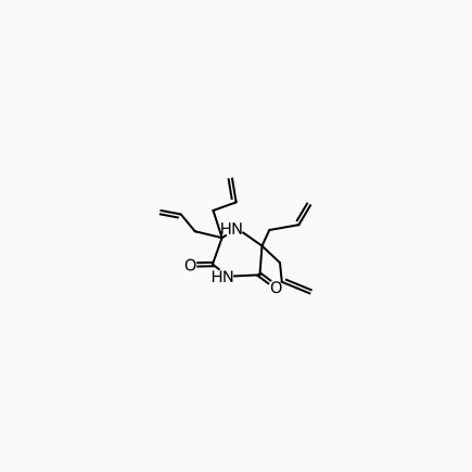 C=CCC1(CC=C)NC(CC=C)(CC=C)C(=O)NC1=O